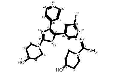 NC(=S)N1CCC(O)CC1.OC1CCN(c2nc(-c3ccncc3)c(-c3ccnc(F)c3)s2)CC1